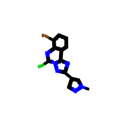 Cn1cc(-c2nc3c4cccc(Br)c4nc(Cl)n3n2)cn1